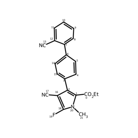 CCOC(=O)c1c(-c2ccc(-c3ccccc3C#N)cc2)c(C#N)c(F)n1C